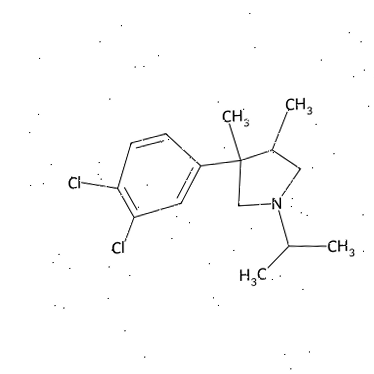 CC(C)N1CC(C)C(C)(c2ccc(Cl)c(Cl)c2)C1